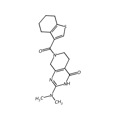 CN(C)c1nc2c(c(=O)[nH]1)CCN(C(=O)c1csc3c1CCCC3)C2